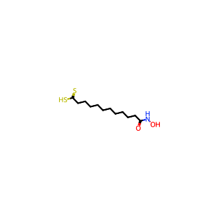 O=C(CCCCCCCCCCC(=S)S)NO